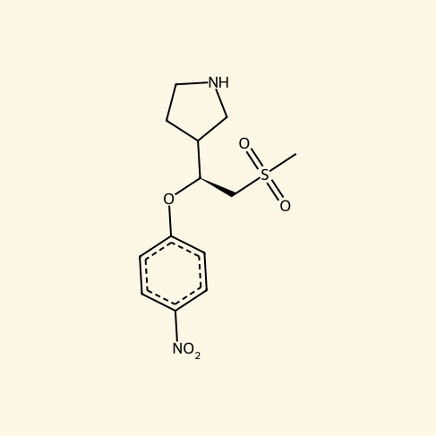 CS(=O)(=O)C[C@@H](Oc1ccc([N+](=O)[O-])cc1)C1CCNC1